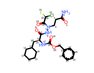 NC(=O)CCN(NC(=O)[C@H](CC1CCCCC1)NC(=O)OCc1ccccc1)C(=O)[C@@H](F)Cl